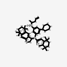 C=CCC(C)Nc1cc(C2CCCCC2)cc(N(/C(=C/C2C(C)C(C)(C)CCC2(C)C)CC)C2CSc3cc4c(cc32)C(C)(C)CCC4(C)C)c1